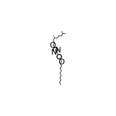 CCCCCCCCCCOc1ccc(-c2ncc(OCC[C@@H](C)CCCC(C)C)cn2)cc1